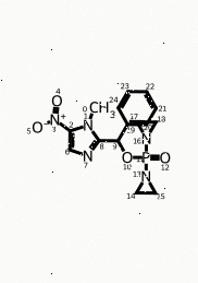 Cn1c([N+](=O)[O-])cnc1C(OP(=O)(N1CC1)N1CC1)c1ccccc1